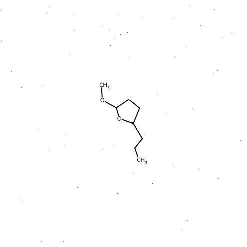 CCCC1CCC(OC)O1